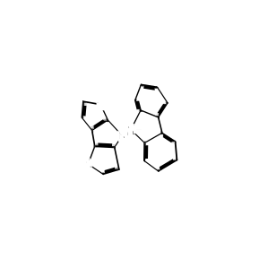 c1cc2c([nH]c3ccsc32)s1.c1ccc2c(c1)[nH]c1ccccc12